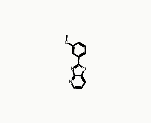 COc1cccc(-c2nc3ncccc3o2)c1